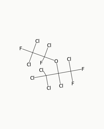 FC(F)(Cl)C(Cl)(OC(F)(Cl)C(F)(Cl)Cl)C(Cl)(Cl)Cl